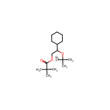 CC(C)(C)OC(COC(=O)C(C)(C)C)C1CCCCC1